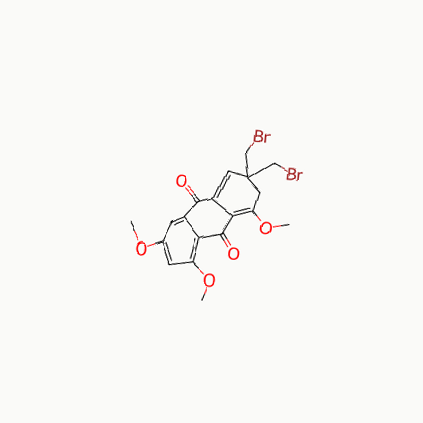 COC1=C2C(=O)c3c(OC)cc(OC)cc3C(=O)C2=CC(CBr)(CBr)C1